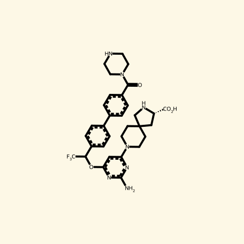 Nc1nc(OC(c2ccc(-c3ccc(C(=O)N4CCNCC4)cc3)cc2)C(F)(F)F)cc(N2CCC3(CC2)CN[C@H](C(=O)O)C3)n1